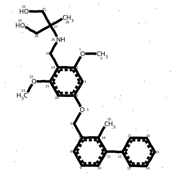 COc1cc(OCc2cccc(-c3ccccc3)c2C)cc(OC)c1CNC(C)(CO)CO